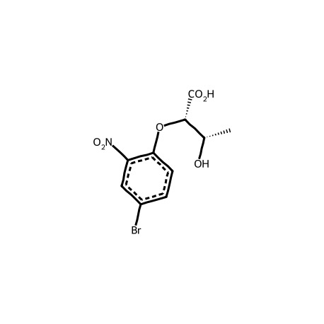 C[C@H](O)[C@H](Oc1ccc(Br)cc1[N+](=O)[O-])C(=O)O